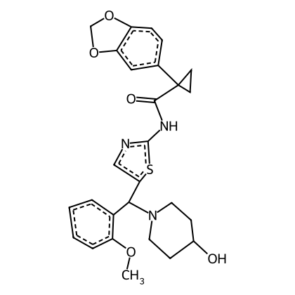 COc1ccccc1C(c1cnc(NC(=O)C2(c3ccc4c(c3)OCO4)CC2)s1)N1CCC(O)CC1